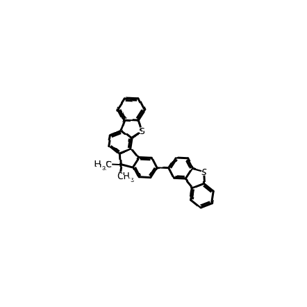 CC1(C)c2ccc(-c3ccc4sc5ccccc5c4c3)cc2-c2c1ccc1c2sc2ccccc21